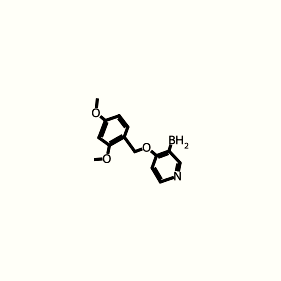 Bc1cnccc1OCc1ccc(OC)cc1OC